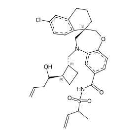 C=CCC(O)[C@@H]1CC[C@H]1CN1C[C@@]2(CCCc3cc(Cl)ccc32)COc2ccc(C(=O)NS(=O)(=O)C(C)C=C)cc21